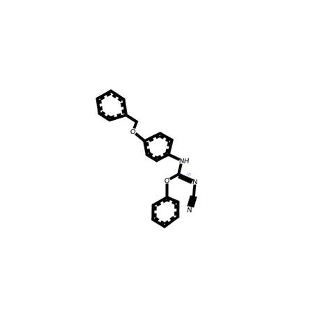 N#C/N=C(/Nc1ccc(OCc2ccccc2)cc1)Oc1ccccc1